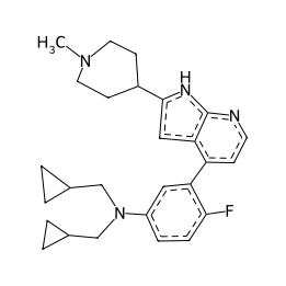 CN1CCC(c2cc3c(-c4cc(N(CC5CC5)CC5CC5)ccc4F)ccnc3[nH]2)CC1